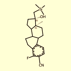 C[C@]12CCC3c4ccc(C#N)c(F)c4CCC3C1CC[C@@]2(O)C[Si](C)(C)C